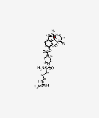 CN1C[C@]23c4c5ccc(OC(=O)N6CCN(C(=O)[C@@H](N)CCCNC(=N)N)CC6)c4OC2C(=O)CCC3[C@H]1C5